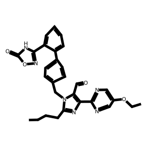 CCCCc1nc(-c2ncc(OCC)cn2)c(C=O)n1Cc1ccc(-c2ccccc2-c2noc(=O)[nH]2)cc1